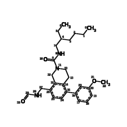 CCCCC(CC)CNC(=O)N1CCc2c(-c3cccc(OC)c3)ccc(CNC=O)c2C1